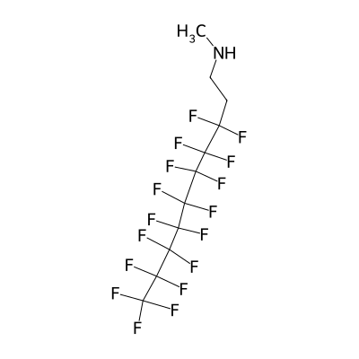 CNCCC(F)(F)C(F)(F)C(F)(F)C(F)(F)C(F)(F)C(F)(F)C(F)(F)C(F)(F)F